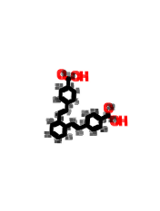 O=C(O)c1ccc(/C=C/c2ccccc2/C=C/c2ccc(C(=O)O)cc2)cc1